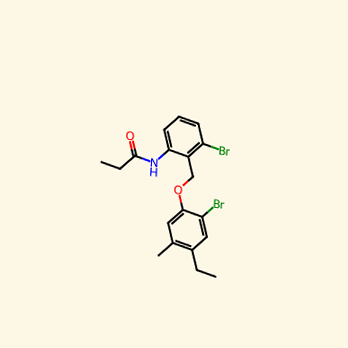 CCC(=O)Nc1cccc(Br)c1COc1cc(C)c(CC)cc1Br